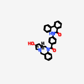 O=C(Nc1ccc(C(=O)N2C[C@H]3C[C@@H](O)CN3Cc3ccccc32)cc1)c1ccccc1-c1ccccc1